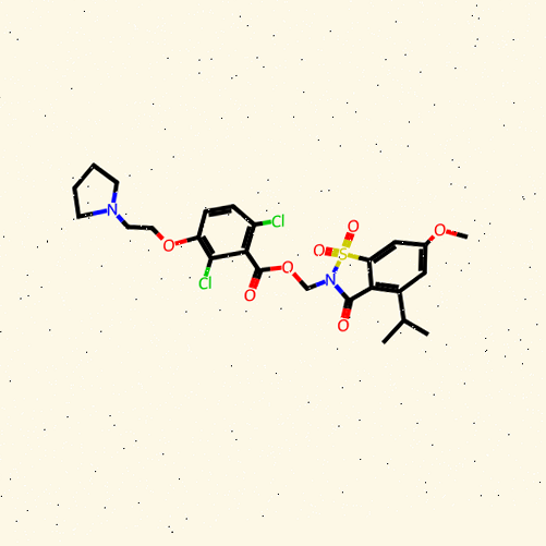 COc1cc(C(C)C)c2c(c1)S(=O)(=O)N(COC(=O)c1c(Cl)ccc(OCCN3CCCC3)c1Cl)C2=O